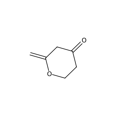 C=C1CC(=O)CCO1